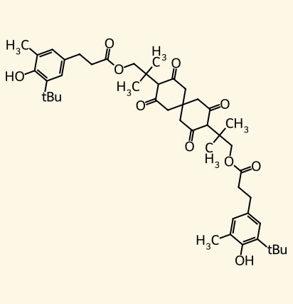 Cc1cc(CCC(=O)OCC(C)(C)C2C(=O)CC3(CC2=O)CC(=O)C(C(C)(C)COC(=O)CCc2cc(C)c(O)c(C(C)(C)C)c2)C(=O)C3)cc(C(C)(C)C)c1O